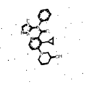 O=C(c1nccc(N2CCCC(O)C2)c1C1CC1)N(c1ccccc1)c1nnc[nH]1